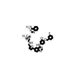 CS(=O)(=O)CCNCc1ccc(-c2ccc3ncnc(Nc4ccc(OCc5cccc(F)c5)c(Cl)c4)c3c2)o1.Nc1ncnc2ccccc12